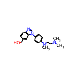 CN(C)CCN(C)c1ccc(-n2cnc3ccc(CO)cc32)cc1